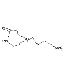 NCCCN1CCNC(=O)C1